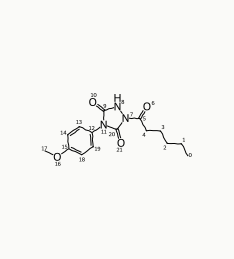 CCCCCC(=O)n1[nH]c(=O)n(-c2ccc(OC)cc2)c1=O